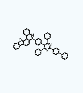 c1ccc(-c2ccc(-c3nc(-c4ccccc4)c(-c4ccc(-c5nc6ccccc6c6c5ccc5c7ccccc7oc56)cc4)c(-c4ccccc4)n3)cc2)cc1